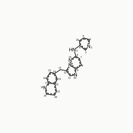 c1cncc(Nc2ccc3ncc(Cc4ccc5ncccc5c4)n3n2)c1